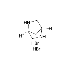 Br.Br.C1N[C@@H]2CN[C@H]1C2